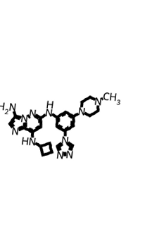 CN1CCN(c2cc(Nc3cc(NC4CCC4)c4ncc(N)n4n3)cc(-n3cnnc3)c2)CC1